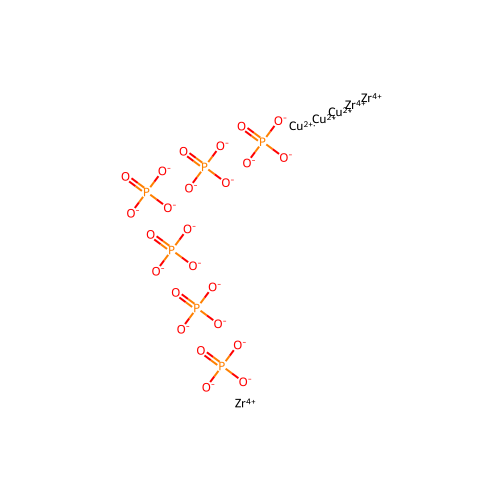 O=P([O-])([O-])[O-].O=P([O-])([O-])[O-].O=P([O-])([O-])[O-].O=P([O-])([O-])[O-].O=P([O-])([O-])[O-].O=P([O-])([O-])[O-].[Cu+2].[Cu+2].[Cu+2].[Zr+4].[Zr+4].[Zr+4]